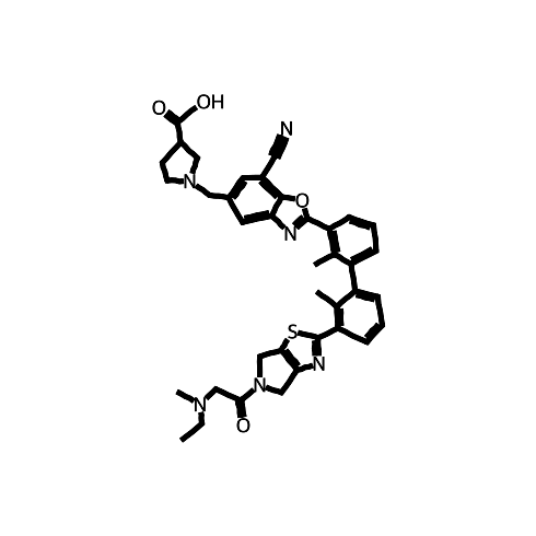 CCN(C)CC(=O)N1Cc2nc(-c3cccc(-c4cccc(-c5nc6cc(CN7CCC(C(=O)O)C7)cc(C#N)c6o5)c4C)c3C)sc2C1